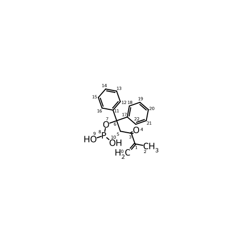 C=C(C)C(=O)CC(OP(O)O)(c1ccccc1)c1ccccc1